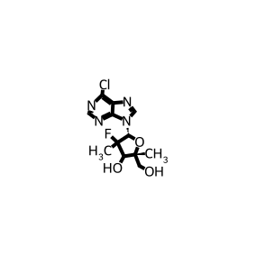 CC1(F)C(O)[C@@](C)(CO)O[C@H]1n1cnc2c(Cl)ncnc21